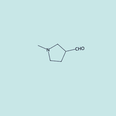 CN1CCC(C=O)C1